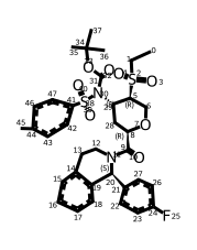 CCS(=O)(=O)[C@H]1CO[C@@H](C(=O)N2CCc3ccccc3[C@@H]2c2ccc(F)cc2)C[C@@H]1N(C(=O)OC(C)(C)C)S(=O)(=O)c1ccc(C)cc1